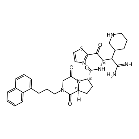 N=C(N)C(C1CCCNC1)[C@H](NC(=O)[C@@H]1CC[C@H]2C(=O)N(CCCc3cccc4ccccc34)CC(=O)N12)C(=O)c1nccs1